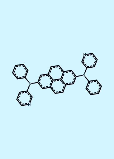 c1ccc(N(c2cccnc2)c2cc3ccc4cc(N(c5ccccc5)c5cccnc5)cc5ccc(c2)c3c45)cc1